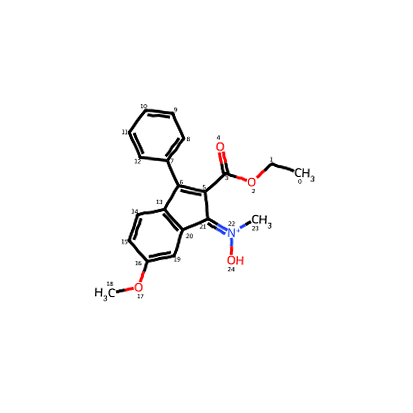 CCOC(=O)C1=C(c2ccccc2)c2ccc(OC)cc2/C1=[N+](/C)O